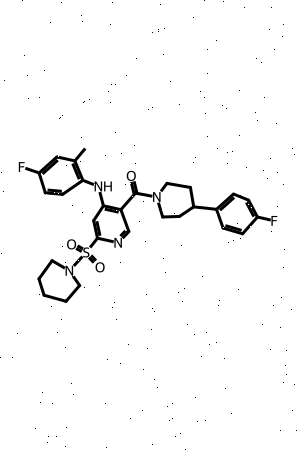 Cc1cc(F)ccc1Nc1cc(S(=O)(=O)N2CCCCC2)ncc1C(=O)N1CCC(c2ccc(F)cc2)CC1